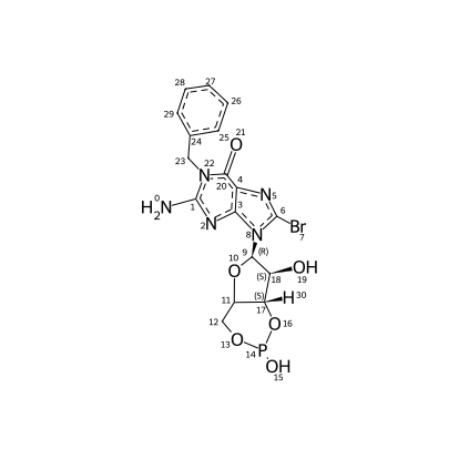 Nc1nc2c(nc(Br)n2[C@@H]2OC3COP(O)O[C@H]3[C@@H]2O)c(=O)n1Cc1ccccc1